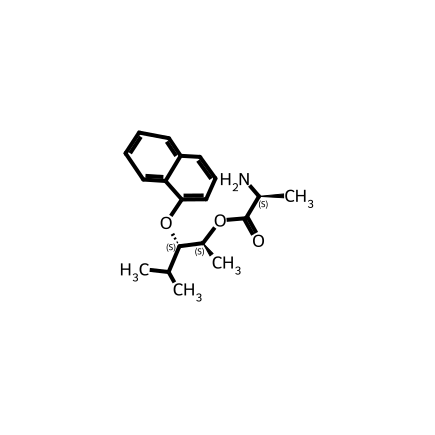 CC(C)[C@H](Oc1cccc2ccccc12)[C@H](C)OC(=O)[C@H](C)N